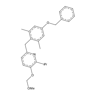 COCOc1ccc(Cc2c(C)cc(OCc3ccccc3)cc2C)nc1C(C)C